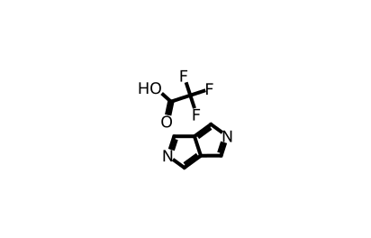 C1=NC=C2C=NC=C12.O=C(O)C(F)(F)F